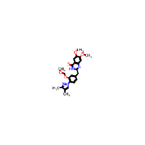 COCOc1cc(Cc2nc3cc(OC)c(OC)cc3c(=O)[nH]2)ccc1-n1cc(C)c(C)n1